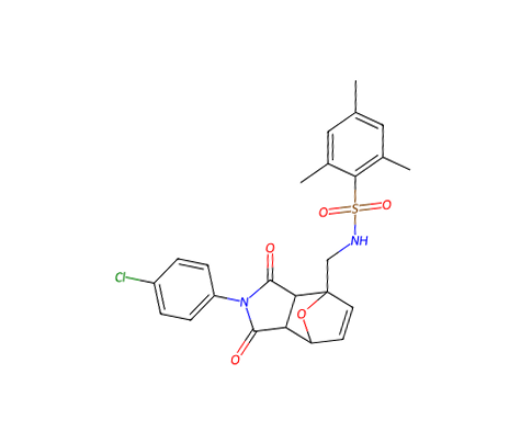 Cc1cc(C)c(S(=O)(=O)NCC23C=CC(O2)C2C(=O)N(c4ccc(Cl)cc4)C(=O)C23)c(C)c1